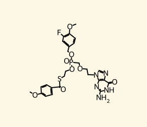 COc1ccc(C(=O)SCCOP(=O)(COCCn2cnc3c(=O)[nH]c(N)nc32)OCc2ccc(OC)c(F)c2)cc1